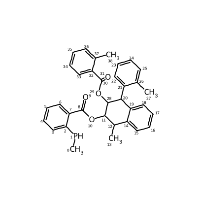 CPc1ccccc1C(=O)OC1C(C)c2ccccc2C(c2ccccc2C)C1OC(=O)c1ccccc1C